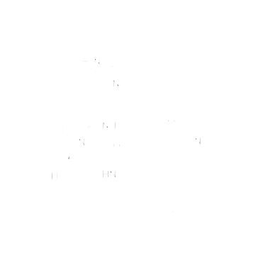 NC(=O)n1cc(NC(=O)N2[C@@H]3C[C@@H]3C[C@H]2C(=O)NCc2cccc(Cl)c2F)c2cc(OCCN3CCCC3)ccc21